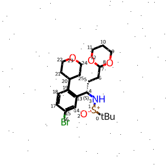 CC(C)(C)[S+]([O-])N[C@@H](CCC1OCCCO1)c1cc(Br)ccc1C1CCOCC1